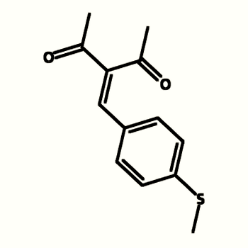 CSc1ccc(C=C(C(C)=O)C(C)=O)cc1